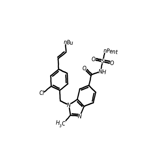 CCCCC=Cc1ccc(Cn2c(C)nc3ccc(C(=O)NS(=O)(=O)CCCCC)cc32)c(Cl)c1